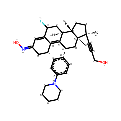 CC(=O)[C@@]1(C#CCO)CC[C@H]2[C@@H]3CC(F)C4=CC(=NO)CCC4=C3[C@@H](c3ccc(N4CCCCC4)cc3)C[C@@]21C